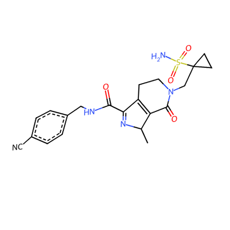 CC1N=C(C(=O)NCc2ccc(C#N)cc2)C2=C1C(=O)N(CC1(S(N)(=O)=O)CC1)CC2